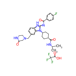 CC(C)NC(=O)[C@H]1CC[C@@H](n2/c(=N/C(=O)c3ccc(F)cc3)[nH]c3ccc(CN4CCNC(=O)C4)cc32)CC1.O=C(O)C(F)(F)F